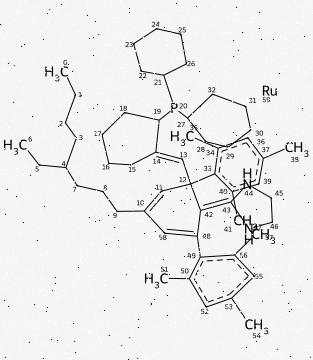 CCCCC(CC)CCCC1=CC(C=C2CCCCC2P(C2CCCCC2)C2CCCCC2)(c2c(C)cc(C)cc2C)C(=C2NCCN2)C(c2c(C)cc(C)cc2C)=C1.[Ru]